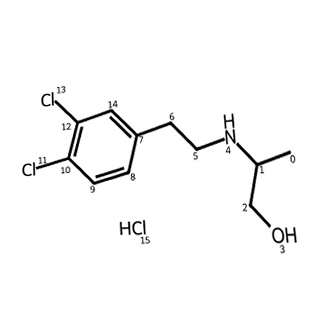 CC(CO)NCCc1ccc(Cl)c(Cl)c1.Cl